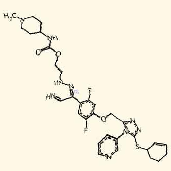 CN1CCC(NC(=O)OCCN/N=C(\C=N)c2cc(F)c(OCc3nnc(SC4C=CCCC4)n3-c3cccnc3)cc2F)CC1